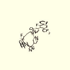 C[C@@H]1C(F)CC[C@H](n2ccc(-c3c(C(F)(F)F)ccc(Cl)c3F)cc2=O)c2cc(ccn2)-c2c(cnn2C)NC1O